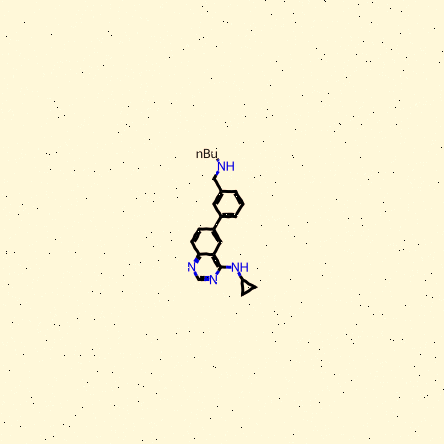 CCCCNCc1cccc(-c2ccc3ncnc(NC4CC4)c3c2)c1